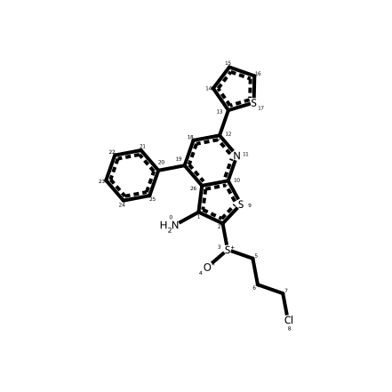 Nc1c([S+]([O-])CCCCl)sc2nc(-c3cccs3)cc(-c3ccccc3)c12